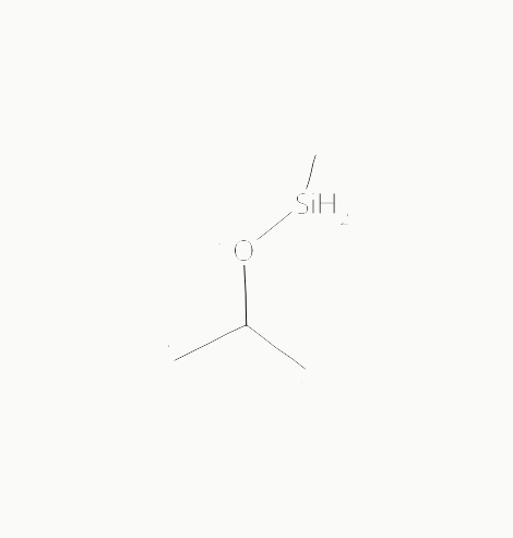 C[SiH2]OC(C)C